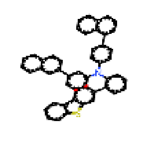 c1cc(-c2ccc3ccccc3c2)cc(N(c2ccc(-c3cccc4ccccc34)cc2)c2ccccc2-c2ccc3c(c2)sc2ccccc23)c1